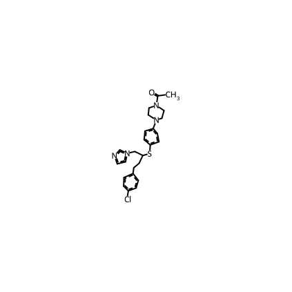 CC(=O)N1CCN(c2ccc(SC(CCc3ccc(Cl)cc3)Cn3ccnc3)cc2)CC1